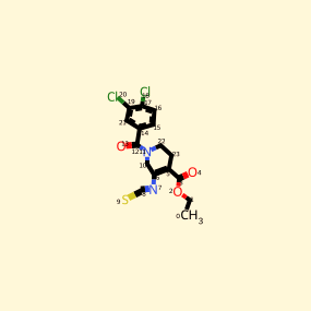 CCOC(=O)C1=C(N=C=S)CN(C(=O)c2ccc(Cl)c(Cl)c2)CC1